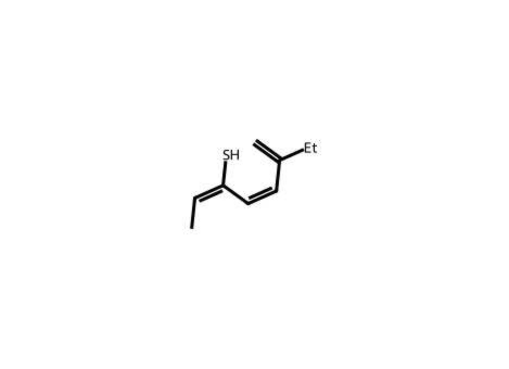 C=C(/C=C\C(S)=C/C)CC